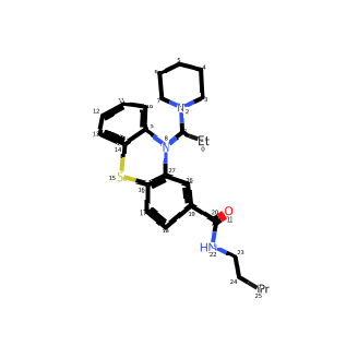 CCC(N1CCCCC1)N1c2ccccc2Sc2ccc(C(=O)NCCC(C)C)cc21